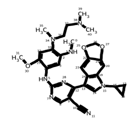 CNc1cc(Nc2ncc(C#N)c(-c3cn(C4CC4)c4cc5c(cc34)OCO5)n2)c(OC)cc1N(C)CCN(C)C